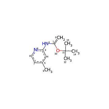 C=C(Nc1cc(C)ccn1)OC(C)(C)C